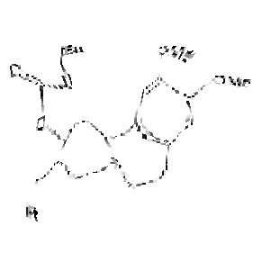 COc1cc2c(cc1OC)C1CC(OC(=O)OC(C)(C)C)C(CC(C)C)CN1CC2